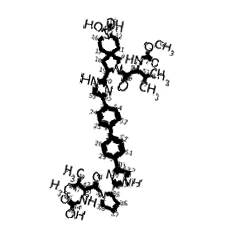 COC(=O)N[C@H](C(=O)N1CC2(CCS(O)(O)CC2)CC1c1nc(-c2ccc(-c3ccc(-c4c[nH]c([C@@H]5CCCN5C(=O)[C@@H](NC(=O)O)C(C)C)n4)cc3)cc2)c[nH]1)C(C)C